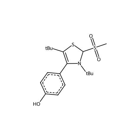 CC(C)(C)C1=C(c2ccc(O)cc2)N(C(C)(C)C)C(S(C)(=O)=O)S1